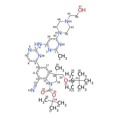 Cc1nc(Nc2nccc(-c3cc(C#N)c4c(c3)[C@@](C)(CO[Si](C)(C)C(C)(C)C)CN4C(=O)OC(C)(C)C)n2)cc(N2CCN(CCO)CC2)n1